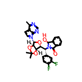 Cc1ncnc2c1ccn2[C@@H]1O[C@H]([C@@H](c2ccc(F)c(F)c2)N2C(=O)c3ccccc3C2O)[C@H]2OC(C)(C)O[C@H]21